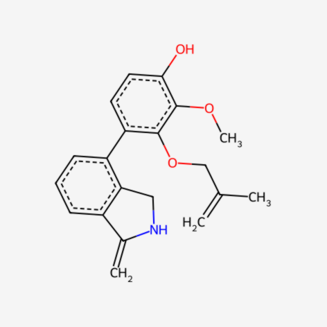 C=C(C)COc1c(-c2cccc3c2CNC3=C)ccc(O)c1OC